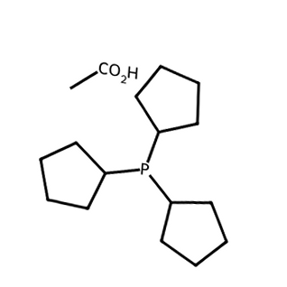 C1CCC(P(C2CCCC2)C2CCCC2)C1.CC(=O)O